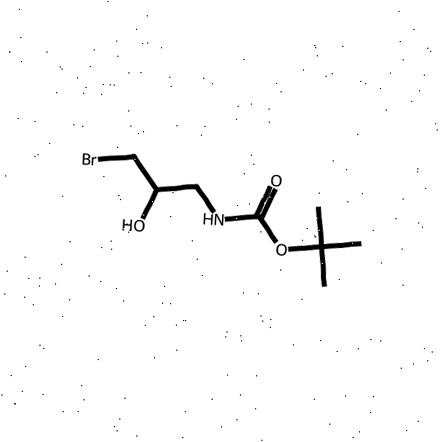 CC(C)(C)OC(=O)NCC(O)CBr